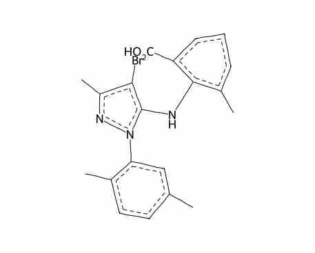 Cc1ccc(C)c(-n2nc(C)c(Br)c2Nc2c(C)cccc2C(=O)O)c1